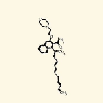 C=CC=CCC=CC=CC=C(C)c1c(C(N)=O)c(OCCN2CCOCC2)cc2ccccc12